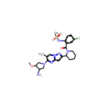 Cc1cn2nc(C3CCCCN3C(=O)c3cc(Cl)ccc3NS(C)(=O)=O)cc2nc1N1CC(N)C(OI)C1